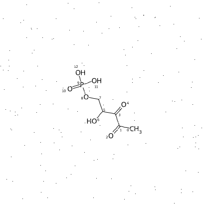 CC(=O)C(=O)C(O)COP(=O)(O)O